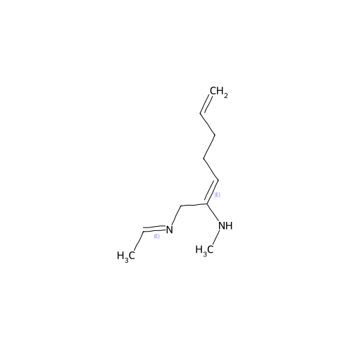 C=CCC/C=C(\C/N=C/C)NC